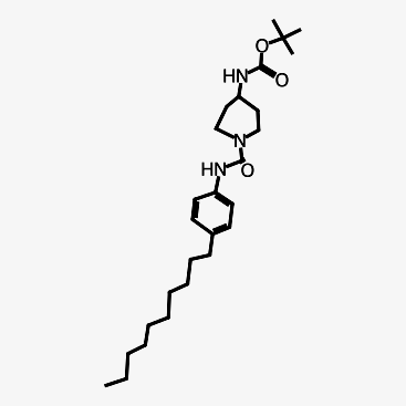 CCCCCCCCCCc1ccc(NC(=O)N2CCC(NC(=O)OC(C)(C)C)CC2)cc1